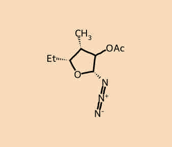 CC[C@H]1O[C@@H](N=[N+]=[N-])C(OC(C)=O)[C@H]1C